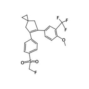 COc1ccc(C2=C(c3ccc(S(=O)(=O)CF)cc3)CC3(CC3)C2)cc1C(F)(F)F